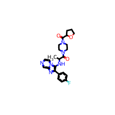 CC(Nc1c(-c2ccc(F)cc2)nc2cnccn12)C(=O)N1CCN(C(=O)C2CCCO2)CC1